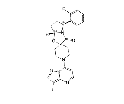 Cc1cnn2c(N3CCC4(CC3)O[C@@H]3CC[C@@H](c5ccccc5F)N3C4=O)ccnc12